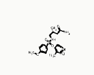 COc1ccc(S(=O)(=O)NC[C@H](C)CC(N)=O)cc1.Cc1cccnc1.Cl